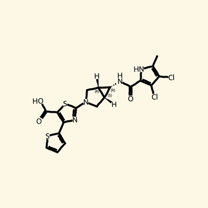 Cc1[nH]c(C(=O)N[C@@H]2[C@@H]3CN(c4nc(-c5cccs5)c(C(=O)O)s4)C[C@@H]32)c(Cl)c1Cl